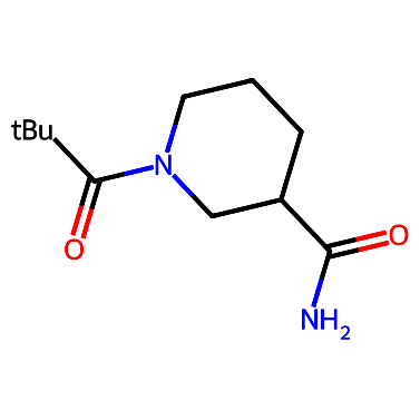 CC(C)(C)C(=O)N1CCCC(C(N)=O)C1